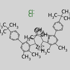 Cc1cc(-c2ccc(C(C)(C)C)cc2)c2c(c1C)[CH]([Zr+2]1([CH]3C(C(C)C)=Cc4c(-c5ccc(C(C)(C)C)cc5)cc(C)c(C)c43)[CH2][CH2]1)C(C(C)C)=C2.[Cl-].[Cl-]